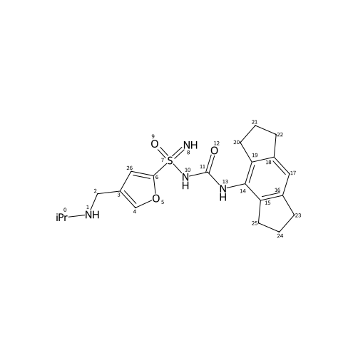 CC(C)NCc1coc(S(=N)(=O)NC(=O)Nc2c3c(cc4c2CCC4)CCC3)c1